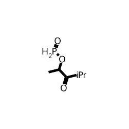 CC(C)C(=O)C(C)O[PH2]=O